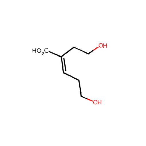 O=C(O)C(=CCCO)CCO